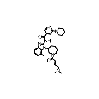 Cc1cccc2nc(NC(=O)c3ccnc(N4CCCCC4)c3)n(C3CCCCN(C(=O)/C=C/CN(C)C)C3)c12